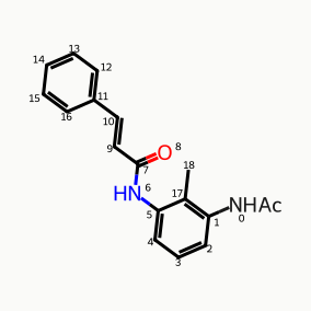 CC(=O)Nc1cccc(NC(=O)C=Cc2ccccc2)c1C